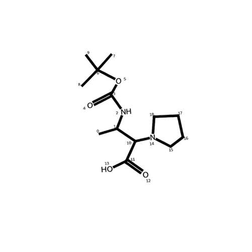 CC(NC(=O)OC(C)(C)C)C(C(=O)O)N1CCCC1